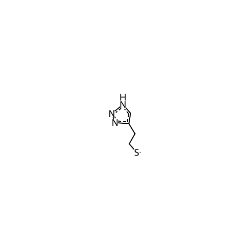 [S]CCc1c[nH]nn1